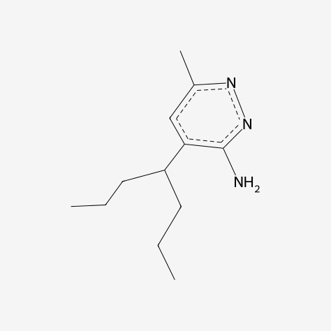 CCCC(CCC)c1cc(C)nnc1N